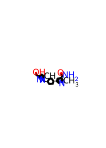 Cc1ncc([C@H]2CC[C@H](Cn3nc(CO)cc3C)CC2)cc1C(N)=O